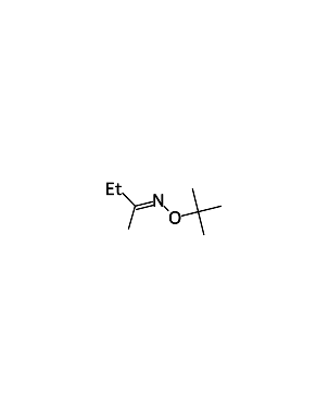 [CH2]CC(C)=NOC(C)(C)C